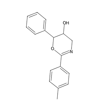 Cc1ccc(C2=NCC(O)C(c3ccccc3)O2)cc1